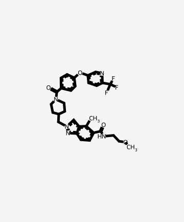 COCCNC(=O)c1ccc2nn(CC3CCN(C(=O)c4ccc(Oc5ccc(C(F)(F)F)nc5)cc4)CC3)cc2c1C